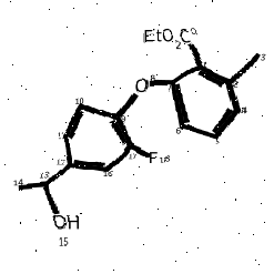 CCOC(=O)c1c(C)cccc1Oc1ccc(C(C)O)cc1F